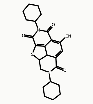 N#CC1=C2C(=O)N(C3CCCCC3)C(=O)C3=C2C2C(=C1)C(=O)N(C1CCCCC1)CC2S3